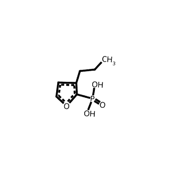 CCCc1ccoc1P(=O)(O)O